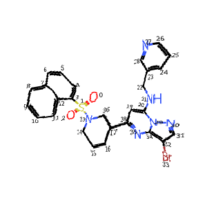 O=S(=O)(c1cccc2ccccc12)N1CCCC(c2cc(NCc3cccnc3)n3ncc(Br)c3n2)C1